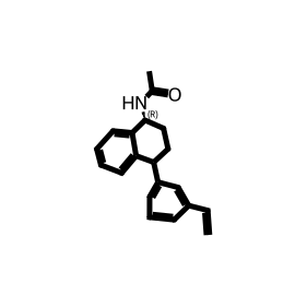 C=Cc1cccc(C2CC[C@@H](NC(C)=O)c3ccccc32)c1